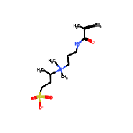 C=C(C)C(=O)NCCC[N+](C)(C)C(C)CCS(=O)(=O)[O-]